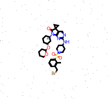 Cc1c(CBr)cccc1S(=O)(=O)N1CCC(Nc2ncc3c(n2)N([C@@H]2CCC[C@@H](OC4CCCCO4)C2)C(=O)C32CC2)CC1